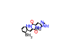 Bc1ccccc1/C=c1\[nH]c(=O)/c(=C/c2nc[nH]c2C(C)(C)C)[nH]c1=O